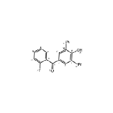 CC(C)c1cc(C(=O)c2ccccc2F)cc(C(C)C)c1O